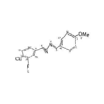 COc1ccc(C=NN=Cc2ccc(Cl)c(F)c2)cc1